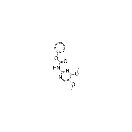 COc1cnc(NC(=O)Oc2ccccc2)nc1OC